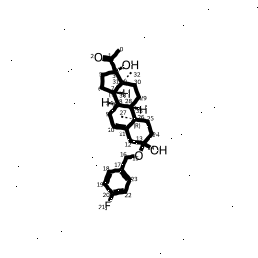 CC(=O)[C@@]1(O)CC[C@H]2[C@@H]3CC=C4CC(O)(OCc5ccc(F)cc5)CC[C@]4(C)[C@H]3CC[C@@]21C